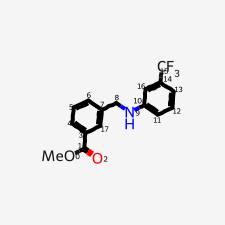 COC(=O)c1cccc(CNc2cccc(C(F)(F)F)c2)c1